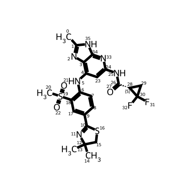 Cc1nc2c(Nc3ccc(C4=NC(C)(C)CS4)cc3S(C)(=O)=O)cc(NC(=O)[C@@H]3CC3(F)F)nc2[nH]1